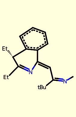 CCC1=N/C(=C\C(=N/C)C(C)(C)C)c2ccccc2[C@H]1CC